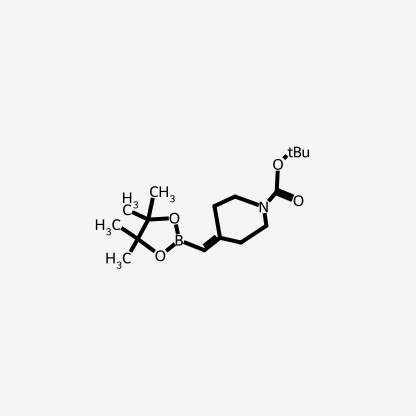 CC(C)(C)OC(=O)N1CCC(=CB2OC(C)(C)C(C)(C)O2)CC1